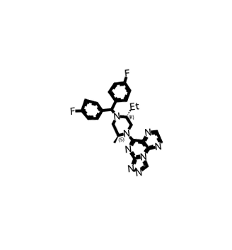 CC[C@@H]1CN(c2nc3nncn3c3nccnc23)[C@@H](C)CN1C(c1ccc(F)cc1)c1ccc(F)cc1